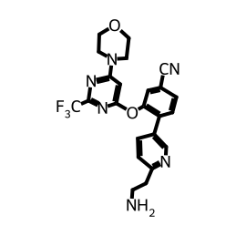 N#Cc1ccc(-c2ccc(CCN)nc2)c(Oc2cc(N3CCOCC3)nc(C(F)(F)F)n2)c1